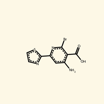 Nc1cc(-c2nccs2)nc(Br)c1C(=O)O